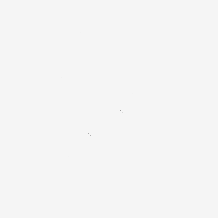 c1ccc(-c2cc(-c3cc(-c4ccc5oc6ccccc6c5c4)cc(-c4ccc5cc6ccccc6cc5n4)c3)nc(-c3ccccc3)n2)cc1